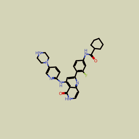 O=C(Nc1ccc(-c2cc(Nc3ccc(N4CCNCC4)cn3)c3c(=O)[nH]ccc3n2)c(F)c1)C1CCCCC1